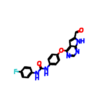 O=Cc1cc2c(Oc3ccc(NC(=O)Nc4ccc(F)cc4)cc3)ncnc2[nH]1